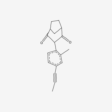 CC#Cc1ccc(C2C(=O)C3CCC(C3)C2=O)c(C)c1